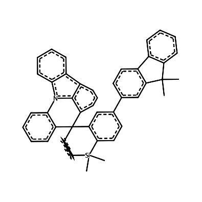 CC1(C)c2ccccc2-c2ccc(-c3ccc4c(c3)C3(c5ccccc5-n5c6ccccc6c6cccc3c65)c3ccccc3[Si]4(C)C)cc21